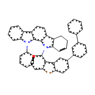 C1=Cc2c(c3ccc4c5ccccc5n(-c5ccccc5)c4c3n2-c2cccc3sc4ccc(-c5cccc(-c6ccccc6)c5)cc4c23)CC1